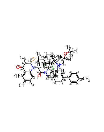 [2H]c1c(C)c([2H])c2c(c1[2H])c(=O)c([2H])c(SC([2H])([2H])c1cccc(F)c1F)n2CC(=O)N(Cc1ccc(-c2ccc(C(F)(F)F)cc2)cc1)C1([2H])C([2H])([2H])C([2H])([2H])N(CC([2H])([2H])OC([2H])([2H])[2H])C([2H])([2H])C1([2H])[2H]